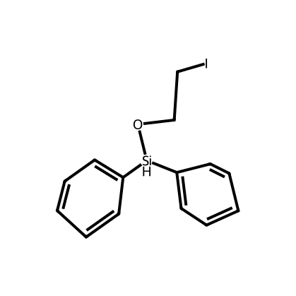 ICCO[SiH](c1ccccc1)c1ccccc1